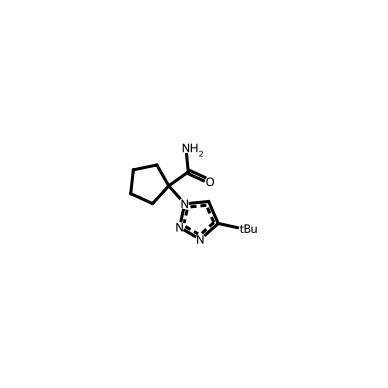 CC(C)(C)c1cn(C2(C(N)=O)CCCC2)nn1